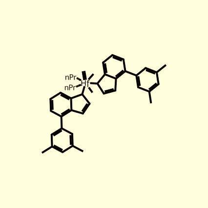 [CH2]=[Hf]([CH3])([CH3])([CH2]CC)([CH2]CC)([CH]1C=Cc2c(-c3cc(C)cc(C)c3)cccc21)[CH]1C=Cc2c(-c3cc(C)cc(C)c3)cccc21